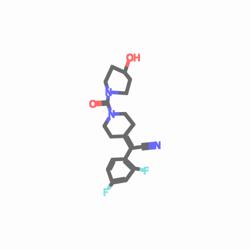 N#CC(=C1CCN(C(=O)N2CCC(O)CC2)CC1)c1ccc(F)cc1F